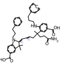 CC(C/C=C/C=C1/N(CCCc2ccccc2)c2ccc(C(=O)O)cc2C1(C)C)(CCC(N)=O)c1cc(C(=O)O)ccc1NCCCc1ccccc1